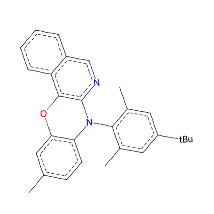 Cc1ccc2c(c1)Oc1c(ncc3ccccc13)N2c1c(C)cc(C(C)(C)C)cc1C